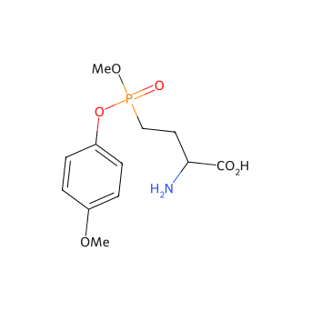 COc1ccc(OP(=O)(CCC(N)C(=O)O)OC)cc1